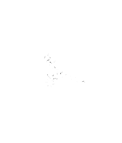 C=CCCCCCCCCC(=O)OC(CN1CCN(c2ccccn2)CC1)CN1C(=O)C2CCCCC2C1=O